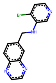 Brc1ccncc1NCc1ccc2nccnc2c1